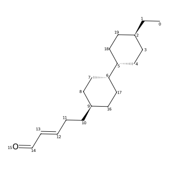 CC[C@H]1CC[C@H]([C@H]2CC[C@H](CCC=CC=O)CC2)CC1